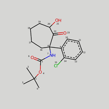 CC(C)(C)OC(=O)NC1(c2ccccc2Cl)CCCCC(O)C1=O